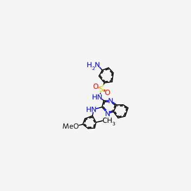 COc1ccc(C)c(Nc2nc3ccccc3nc2NS(=O)(=O)c2cccc(N)c2)c1